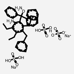 CCc1c(N)c(C(ON)(c2ccccc2)c2ccccc2)c(Cc2ccccc2)c(Cc2ccccc2)c1CC.O=S(=O)(O)O.O=S(=O)(O)O.O=S(=O)([O-])[O-].[Na+].[Na+]